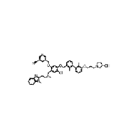 Cc1c(COc2cc(OCc3cncc(C#N)c3)c(CN(C)CCc3nc4ccccc4n3C)cc2Cl)cccc1-c1cccc(OCCCN2CCC(O)C2)c1C